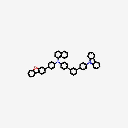 c1cc(-c2ccc(N(c3ccc(-c4ccc5c(c4)oc4ccccc45)cc3)c3cccc4ccccc34)cc2)cc(-c2ccc(-n3c4ccccc4c4ccccc43)cc2)c1